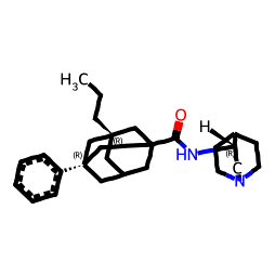 CCC[C@]12CC3CC(C(=O)N[C@H]4CN5CCC4CC5)(C1)C[C@@](c1ccccc1)(C3)C2